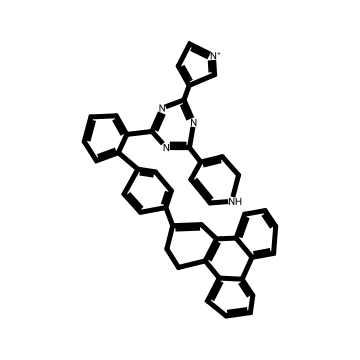 C1=CC(c2nc(C3=CC=[N+]=C3)nc(-c3ccccc3-c3ccc(C4=Cc5c(c6ccccc6c6ccccc56)CC4)cc3)n2)=CCN1